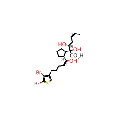 C/C=C\C[C@@H](O)C(O)(C(=O)O)C1CCC[C@@H]1/C(O)=C\CCCc1csc(Br)c1Br